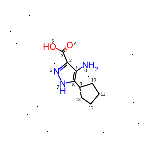 Nc1c(C(=O)O)n[nH]c1C1CCCC1